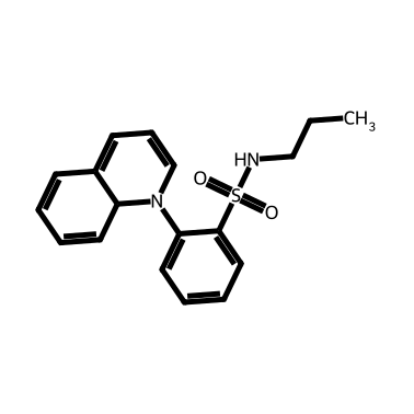 CCCNS(=O)(=O)c1ccccc1N1C=CC=C2C=CC=CC21